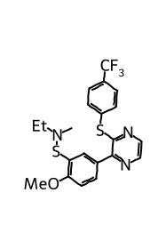 CCN(C)Sc1cc(-c2nccnc2Sc2ccc(C(F)(F)F)cc2)ccc1OC